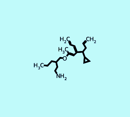 C=C/C=C(\C=C(/C)OCC(CCC)CCN)C(CC=C)C1CC1